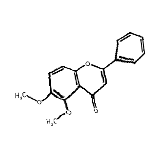 COc1ccc2oc(-c3ccccc3)cc(=O)c2c1OC